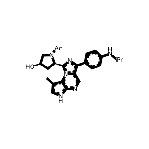 CC(=O)N1C[C@H](O)C[C@@H]1c1nc(-c2ccc(NC(C)C)cc2)c2cnc3[nH]cc(C)c3n12